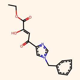 CCOC(=O)/C(O)=C/C(=O)c1cn(Cc2ccccc2)cn1